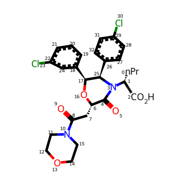 CCC[C@H](C(=O)O)N1C(=O)[C@H](CC(=O)N2CCOCC2)O[C@@H](c2cccc(Cl)c2)[C@H]1c1ccc(Cl)cc1